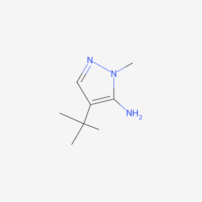 Cn1ncc(C(C)(C)C)c1N